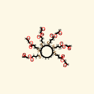 O=C(CCCSC1CCCCCC(SCCCC(=O)OCC2CO2)CC(SCCCC(=O)OCC2CO2)CC(SCCCC(=O)OCC2CO2)CC(SCCCC(=O)OCC2CO2)CC(SCCCC(=O)OCC2CO2)C1)OCC1CO1